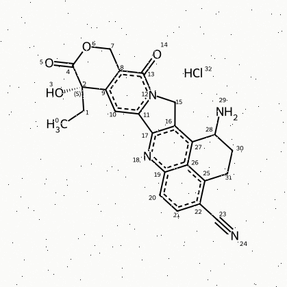 CC[C@@]1(O)C(=O)OCc2c1cc1n(c2=O)Cc2c-1nc1ccc(C#N)c3c1c2C(N)CC3.Cl